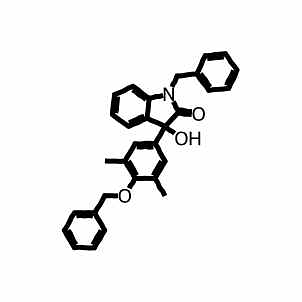 Cc1cc(C2(O)C(=O)N(Cc3ccccc3)c3ccccc32)cc(C)c1OCc1ccccc1